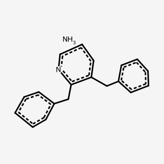 N.c1ccc(Cc2cccnc2Cc2ccccc2)cc1